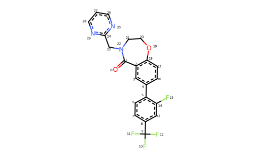 O=C1c2cc(-c3ccc(C(F)(F)F)cc3F)ccc2OCCN1Cc1ncccn1